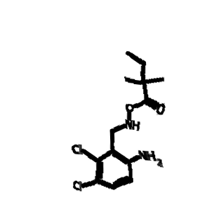 CCC(C)(C)C(=O)ONCc1c(N)ccc(Cl)c1Cl